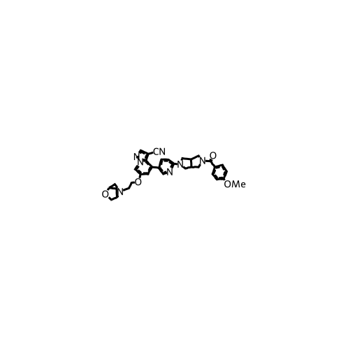 COc1ccc(C(=O)N2CC3CN(c4ccc(-c5cc(OCCN6CC7CC6CO7)cn6ncc(C#N)c56)cn4)CC3C2)cc1